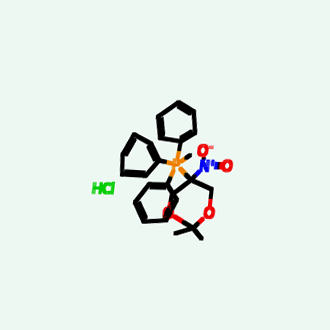 CC1(C)OCC([N+](=O)[O-])(P(C)(c2ccccc2)(c2ccccc2)c2ccccc2)CO1.Cl